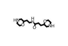 [O]C(CCC1CNCCO1)NCCC1CNCCO1